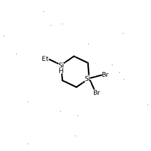 CC[SiH]1CC[Si](Br)(Br)CC1